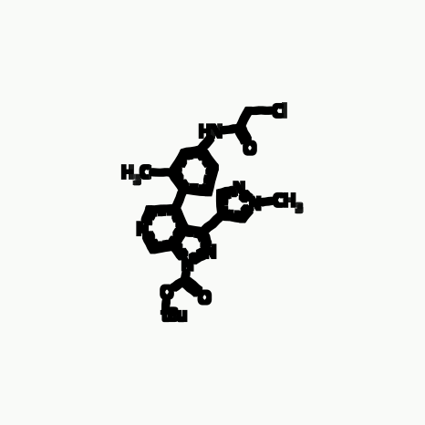 Cc1cc(NC(=O)CCl)ccc1-c1cncc2c1c(-c1cnn(C)c1)nn2C(=O)OC(C)(C)C